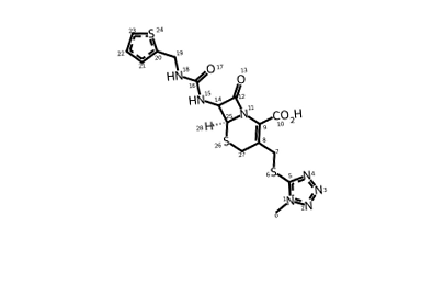 Cn1nnnc1SCC1=C(C(=O)O)N2C(=O)C(NC(=O)NCc3cccs3)[C@@H]2SC1